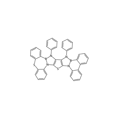 c1ccc(N2B3c4ccccc4Sc4ccccc4N3c3sc4c(c32)N(c2ccccc2)B2c3ccccc3-c3ccccc3N24)cc1